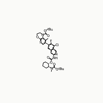 Cc1c(-c2cc3cc(NC(=O)O[C@H]4CCCC[C@@H]4N(C)C(=O)OC(C)(C)C)ncc3c(Cl)c2F)cnc2c1N(C(=O)OC(C)(C)C)CCO2